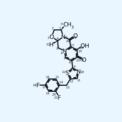 C[C@@H]1CO[C@H]2Cn3cc(-c4ncc(Cc5ccc(F)cc5F)s4)c(=O)c(O)c3C(=O)N12